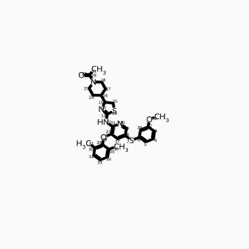 COc1cccc(Sc2cnc(NC3=NC(C4CCN(C(C)=O)CC4)CS3)c(Oc3c(C)cccc3C)c2)c1